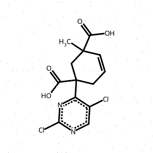 CC1(C(=O)O)C=CCC(C(=O)O)(c2nc(Cl)ncc2Cl)C1